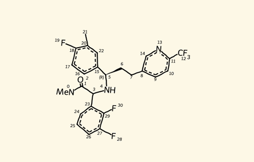 CNC(=O)C(N[C@H](CCc1ccc(C(F)(F)F)nc1)c1ccc(F)c(C)c1)c1cccc(F)c1F